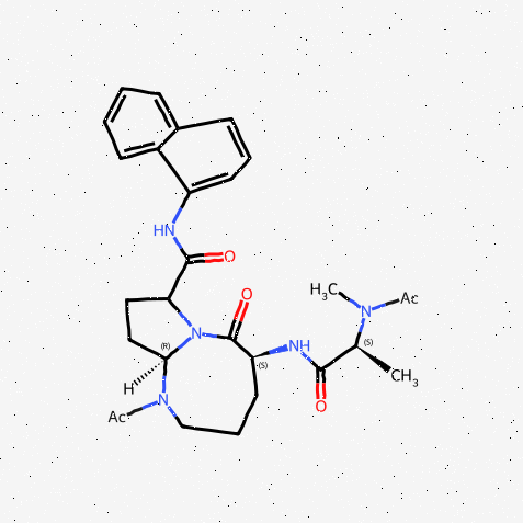 CC(=O)N(C)[C@@H](C)C(=O)N[C@H]1CCCN(C(C)=O)[C@H]2CCC(C(=O)Nc3cccc4ccccc34)N2C1=O